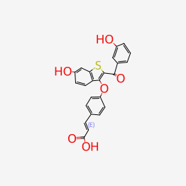 O=C(O)/C=C/c1ccc(Oc2c(C(=O)c3cccc(O)c3)sc3cc(O)ccc23)cc1